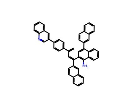 C=C(/C=C(/c1ccc2ccccc2c1)c1cc(-c2ccc3ccccc3c2)c2ccccc2c1N)c1ccc(-c2cnc3ccccc3c2)cc1